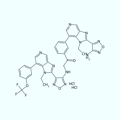 CCn1c(-c2nonc2N)nc2cncc(-c3cccc(C(=O)CNc4nonc4-c4nc5cncc(-c6cccc(OC(F)(F)F)c6)c5n4CC)c3)c21.Cl.Cl